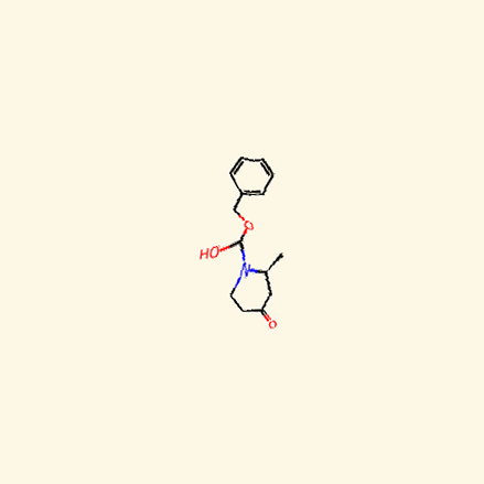 C[C@H]1CC(=O)CCN1C(O)OCc1ccccc1